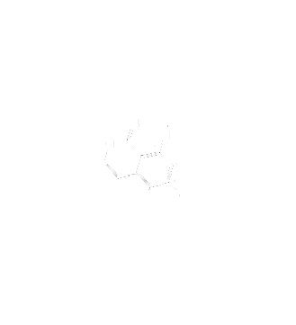 C=Cc1c(C)cc(C)cc1/C=C\C